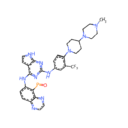 CN1CCN(C2CCN(c3ccc(Nc4nc(Nc5ccc6nccnc6c5P=O)c5cc[nH]c5n4)cc3C(F)(F)F)CC2)CC1